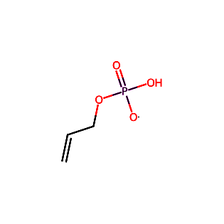 C=CCOP([O])(=O)O